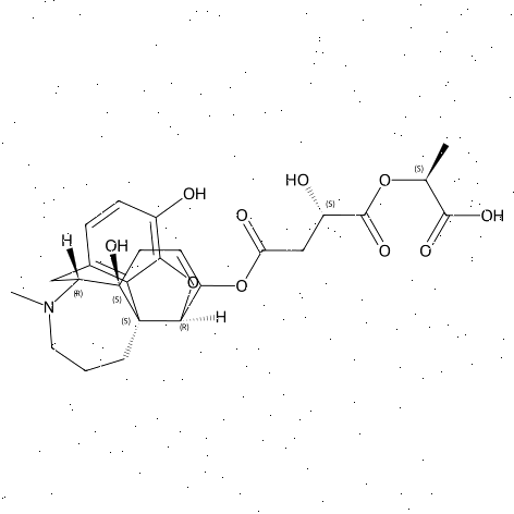 C[C@H](OC(=O)[C@@H](O)CC(=O)OC1=CC[C@@]2(O)[C@H]3Cc4ccc(O)c5c4[C@@]2(CCCN3C)[C@H]1O5)C(=O)O